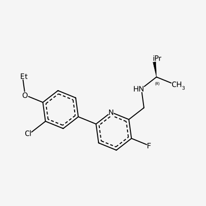 CCOc1ccc(-c2ccc(F)c(CN[C@H](C)C(C)C)n2)cc1Cl